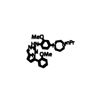 CCCN1CCCN(c2ccc(Nc3ncc4ccc(-c5ccccc5OC)n4n3)c(OC)c2)CC1